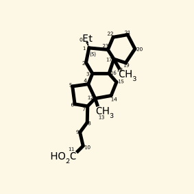 CC[C@H]1CC2C3CCC(CCCC(=O)O)C3(C)CCC2C2(C)CCCCC12